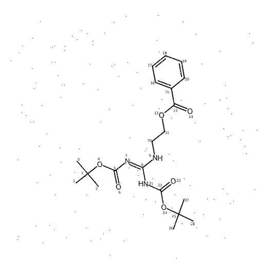 CC(C)(C)OC(=O)N=C(NCCOC(=O)c1ccccc1)NC(=O)OC(C)(C)C